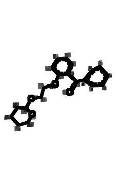 O=C(c1ccccc1)c1ccccc1OCCOC1CCCCO1